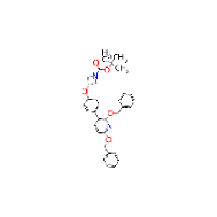 CC(C)(C)OC(=O)N1CC(Oc2ccc(-c3ccc(OCc4ccccc4)nc3OCc3ccccc3)cc2)C1